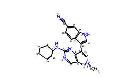 C=N/C=C(\c1nc(NC2CCCCC2)ncc1C)c1c[nH]c2cc(C#N)ccc12